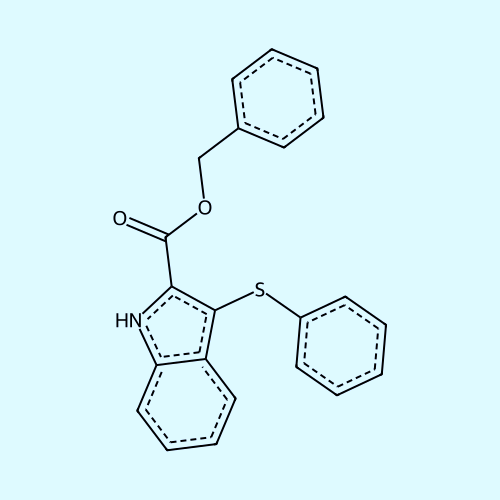 O=C(OCc1ccccc1)c1[nH]c2ccccc2c1Sc1ccccc1